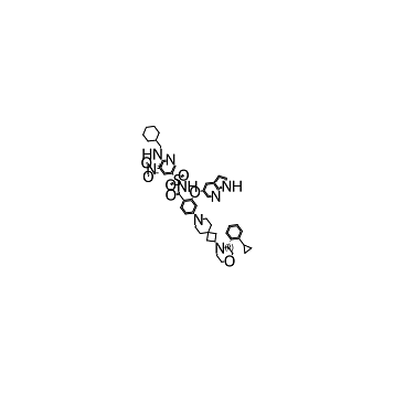 O=C(NS(=O)(=O)c1cnc(NCC2CCCCC2)c([N+](=O)[O-])c1)c1ccc(N2CCC3(CC2)CC(N2CCOC[C@H]2c2ccccc2C2CC2)C3)cc1Oc1cnc2[nH]ccc2c1